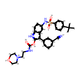 CC(C)(C)c1ccc(S(=O)(=O)Nc2ccc3[nH]c(OC(=O)NCCN4CCOCC4)c(-c4cccc(C#N)c4)c3c2)cc1